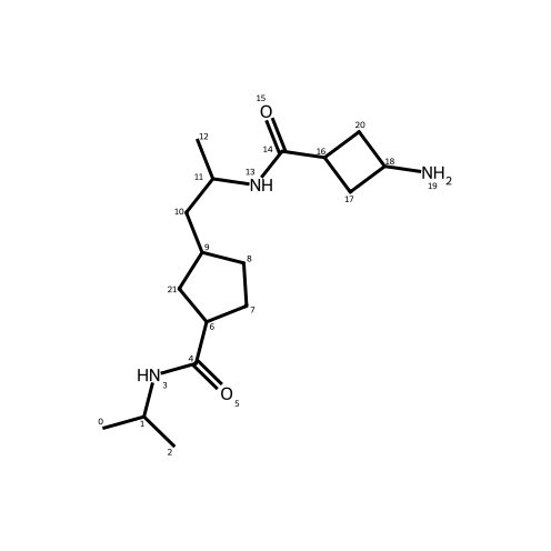 CC(C)NC(=O)C1CCC(CC(C)NC(=O)C2CC(N)C2)C1